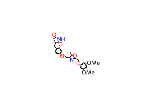 COc1cc(OC)cc(OCc2nc(CCOc3ccc(CC4SC(=O)NC4=O)cc3)c(C)o2)c1